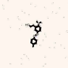 Cc1ccc(/N=N/c2ccc(N(C)C)c(CCO)c2)cc1